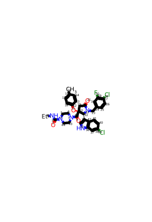 CCNC(=O)N1CCN(C(=O)[C@]2(Oc3ccc(C)cc3)CC(=O)N(Cc3ccc(Cl)c(F)c3)[C@@H]2c2c[nH]c3cc(Cl)ccc23)CC1